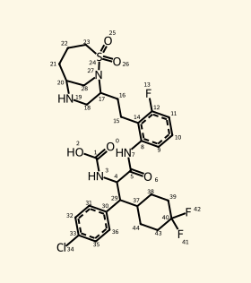 O=C(O)NC(C(=O)Nc1cccc(F)c1CCC1CNC2CCCS(=O)(=O)N1C2)C(c1ccc(Cl)cc1)C1CCC(F)(F)CC1